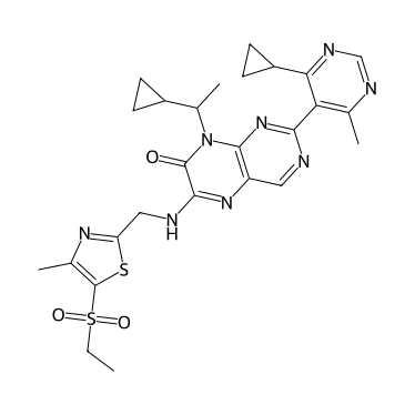 CCS(=O)(=O)c1sc(CNc2nc3cnc(-c4c(C)ncnc4C4CC4)nc3n(C(C)C3CC3)c2=O)nc1C